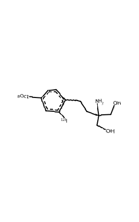 CCCCCCCCc1ccc(CCC(N)(CO)CO)c([123I])c1